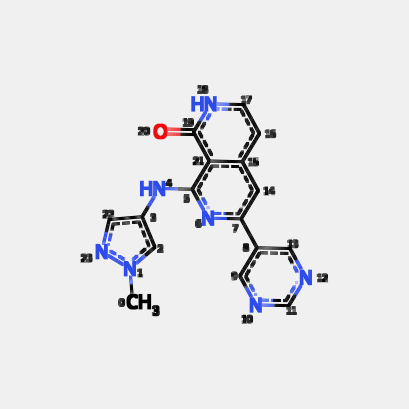 Cn1cc(Nc2nc(-c3cncnc3)cc3cc[nH]c(=O)c23)cn1